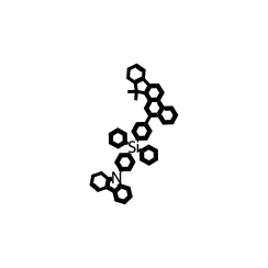 CC1(C)C2=C(C=CCC2)c2ccc3c(cc(-c4ccc([Si](c5ccccc5)(c5ccccc5)c5ccc(-n6c7c(c8ccccc86)C=CCC7)cc5)cc4)c4ccccc43)c21